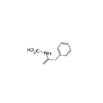 C=C(Cc1ccccc1)NC(=O)O